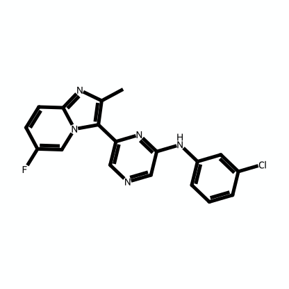 Cc1nc2ccc(F)cn2c1-c1cncc(Nc2cccc(Cl)c2)n1